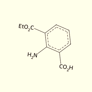 CCOC(=O)c1cccc(C(=O)O)c1N